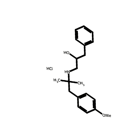 COc1ccc(CC(C)(C)NCC(O)Cc2ccccc2)cc1.Cl